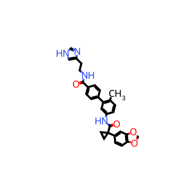 Cc1ccc(NC(=O)C2(c3ccc4c(c3)OCO4)CC2)cc1-c1ccc(C(=O)NCCc2c[nH]cn2)cc1